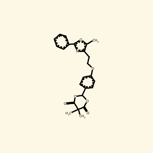 Cc1oc(-c2ccccc2)nc1CCOc1ccc(C2OC(=O)C(C)(C)C(=O)O2)cc1